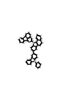 c1ccc(-n2c3ccccc3c3cc(-c4ccc5c(c4)c4ccc6ccccc6c4n5-c4cc5cccc6c5c(n4)-c4cccnc4-6)ccc32)cc1